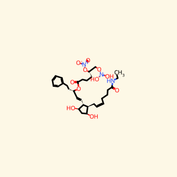 CCNC(=O)CCC/C=C\C[C@@H]1[C@@H](/C=C/[C@H](CCc2ccccc2)OC(=O)CCC[C@@H](CON(O)O)O[N+](=O)[O-])[C@H](O)C[C@@H]1O